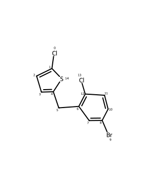 Clc1ccc(Cc2cc(Br)ccc2Cl)s1